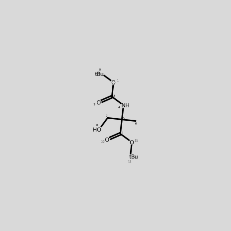 CC(C)(C)OC(=O)NC(C)(CO)C(=O)OC(C)(C)C